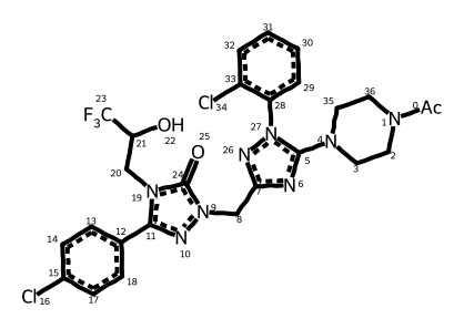 CC(=O)N1CCN(c2nc(Cn3nc(-c4ccc(Cl)cc4)n(CC(O)C(F)(F)F)c3=O)nn2-c2ccccc2Cl)CC1